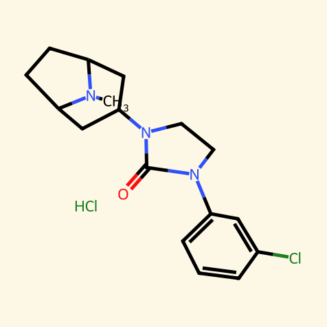 CN1C2CCC1CC(N1CCN(c3cccc(Cl)c3)C1=O)C2.Cl